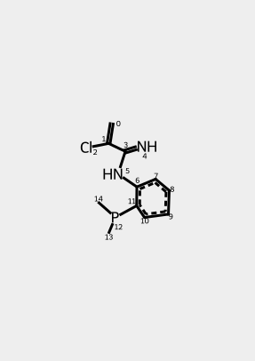 C=C(Cl)C(=N)Nc1ccccc1P(C)C